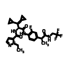 CCn1nccc1C(=O)N[C@H](C(=O)Nc1ccc([C@H](C)C(=O)NCC(F)(F)F)cc1F)C(=C1CC1)C1CC1